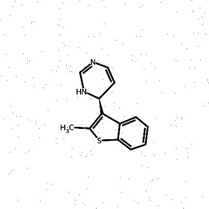 Cc1sc2ccccc2c1[C@@H]1C=CN=CN1